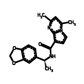 Cc1cc(C)n2ccc(C(=O)N[C@H](C)c3ccc4c(c3)OCO4)c2n1